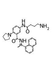 C[C@@H](NC(=O)c1cc(NC(=O)CCCN)ccc1N1CCCC1)c1cccc2ccccc12